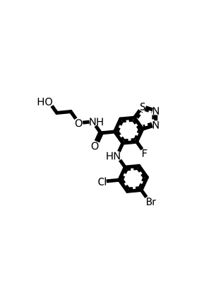 O=C(NOCCO)c1cc2snnc2c(F)c1Nc1ccc(Br)cc1Cl